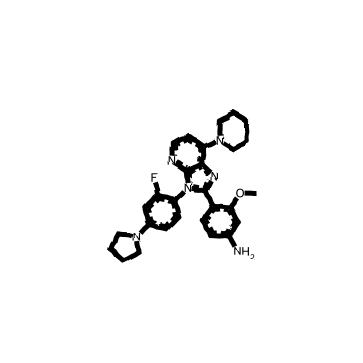 COc1cc(N)ccc1-c1nc2c(N3CCCCC3)ccnc2n1-c1ccc(N2CCCC2)cc1F